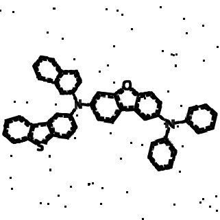 c1ccc(N(c2ccccc2)c2ccc3oc4cc(N(c5ccc6ccccc6c5)c5ccc6sc7ccccc7c6c5)ccc4c3c2)cc1